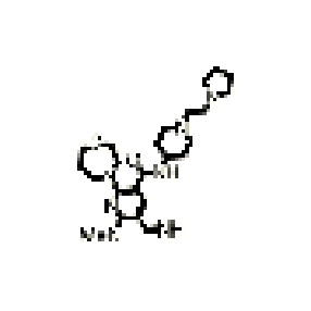 CNc1nc(N2CCCOCC2)c(C(=O)NC2CCN(CCN3CCCC3)CC2)cc1C=N